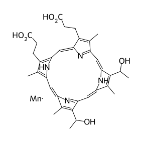 CC1=C(CCC(=O)O)c2cc3[nH]c(cc4nc(cc5[nH]c(cc1n2)c(C(C)O)c5C)C(C(C)O)=C4C)c(C)c3CCC(=O)O.[Mn]